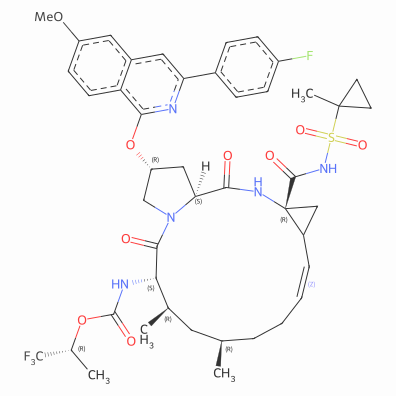 COc1ccc2c(O[C@@H]3C[C@H]4C(=O)N[C@]5(C(=O)NS(=O)(=O)C6(C)CC6)CC5/C=C\CC[C@@H](C)C[C@@H](C)[C@H](NC(=O)O[C@H](C)C(F)(F)F)C(=O)N4C3)nc(-c3ccc(F)cc3)cc2c1